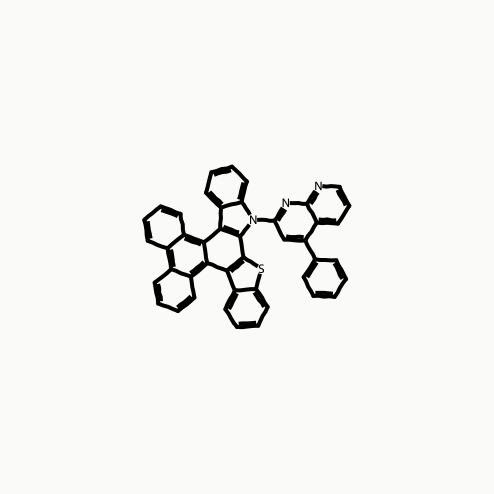 c1ccc(-c2cc(-n3c4ccccc4c4c5c6ccccc6c6ccccc6c5c5c6ccccc6sc5c43)nc3ncccc23)cc1